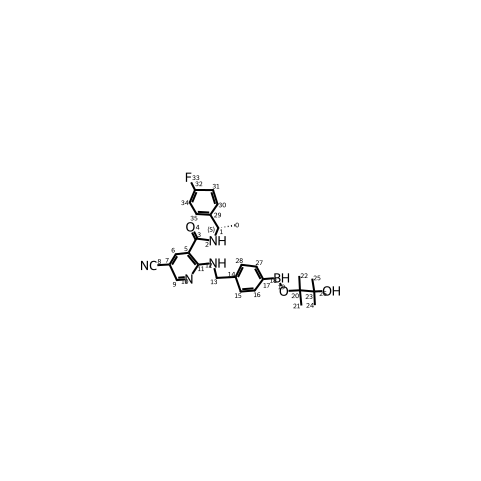 C[C@H](NC(=O)c1cc(C#N)cnc1NCc1ccc(BOC(C)(C)C(C)(C)O)cc1)c1ccc(F)cc1